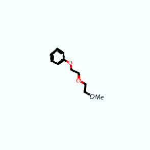 COCCOCCOc1ccccc1